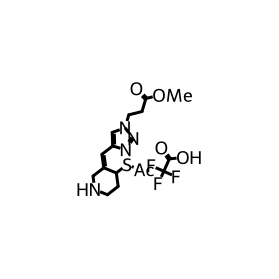 COC(=O)CCn1cc(/C=C2/CNCCC2SC(C)=O)nn1.O=C(O)C(F)(F)F